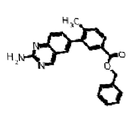 Cc1ccc(C(=O)OCc2ccccc2)cc1-c1ccc2nc(N)ncc2c1